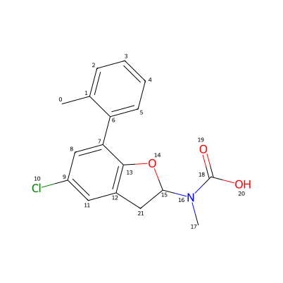 Cc1ccccc1-c1cc(Cl)cc2c1OC(N(C)C(=O)O)C2